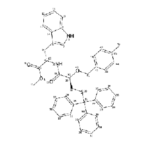 COC(=O)[C@H](Cc1c[nH]c2ccccc12)NC(=O)[C@H](CSC(c1ccccc1)(c1ccccc1)c1ccccc1)OCc1ccc(C)cc1